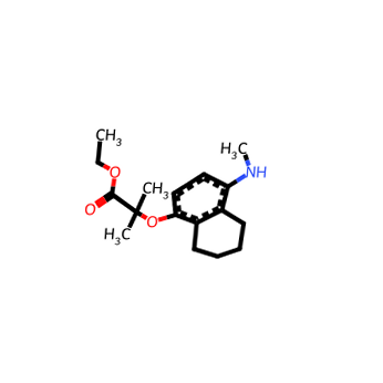 CCOC(=O)C(C)(C)Oc1ccc(NC)c2c1CCCC2